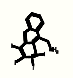 NCc1c2ccccc2cc2c(I)c(I)c(I)c(I)c12